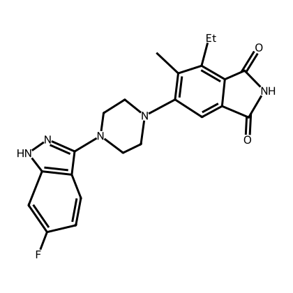 CCc1c(C)c(N2CCN(c3n[nH]c4cc(F)ccc34)CC2)cc2c1C(=O)NC2=O